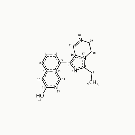 CCc1nc(-c2cccc3cc(O)ncc23)c2n1CCN=C2